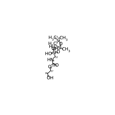 C[Si](C)(C)O[Si](C)(C)O[Si](O)(O)CNC(=O)OCCO